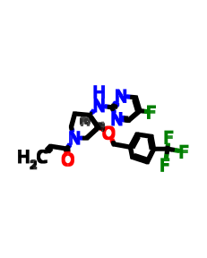 C=CC(=O)N1CC[C@@H](Nc2ncc(F)cn2)[C@H](OCc2ccc(C(F)(F)F)cc2)C1